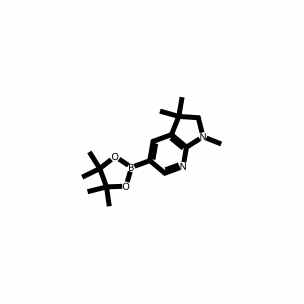 CN1CC(C)(C)c2cc(B3OC(C)(C)C(C)(C)O3)cnc21